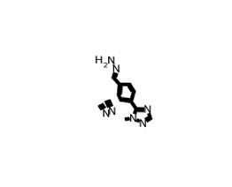 C#N.C#N.Cn1ncnc1-c1ccc(C=NN)cc1